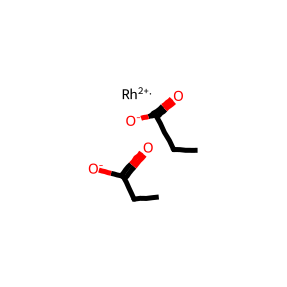 CCC(=O)[O-].CCC(=O)[O-].[Rh+2]